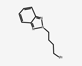 CC(C)CCCCn1nc2ccccc2n1